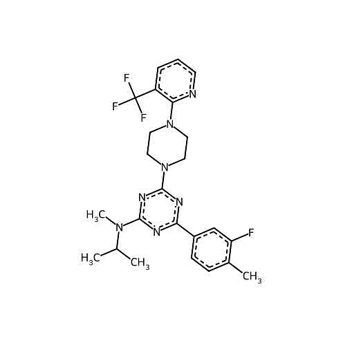 Cc1ccc(-c2nc(N3CCN(c4ncccc4C(F)(F)F)CC3)nc(N(C)C(C)C)n2)cc1F